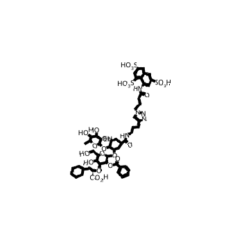 CCC1CC(C(=O)NCCCc2cn(CCCC(=O)Nc3cc(S(=O)(=O)O)cc4cc(S(=O)(=O)O)cc(S(=O)(=O)O)c34)nn2)CC(OC2OC(CO)C(O)C(O[C@@H](CC3CCCCC3)C(=O)O)C2OC(=O)c2ccccc2)C1OC1OC(C)C(O)C(O)C1O